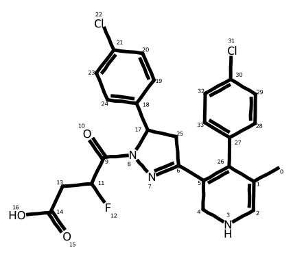 CC1=CNCC(C2=NN(C(=O)C(F)CC(=O)O)C(c3ccc(Cl)cc3)C2)=C1c1ccc(Cl)cc1